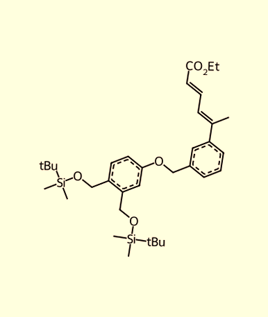 CCOC(=O)C=CC=C(C)c1cccc(COc2ccc(CO[Si](C)(C)C(C)(C)C)c(CO[Si](C)(C)C(C)(C)C)c2)c1